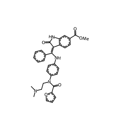 COC(=O)c1ccc2c(c1)NC(=O)C2=C(Nc1ccc(N(CCN(C)C)C(=O)c2ccco2)cc1)c1ccccc1